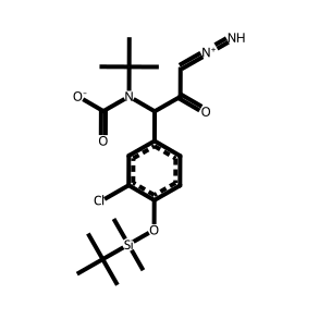 CC(C)(C)N(C(=O)[O-])C(C(=O)C=[N+]=N)c1ccc(O[Si](C)(C)C(C)(C)C)c(Cl)c1